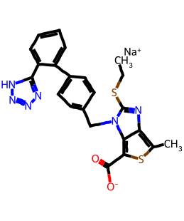 CCSc1nc2c(C)sc(C(=O)[O-])c2n1Cc1ccc(-c2ccccc2-c2nnn[nH]2)cc1.[Na+]